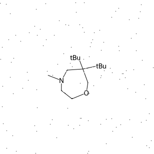 CN1CCOCC(C(C)(C)C)(C(C)(C)C)C1